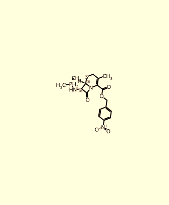 CC1=C(C(=O)OCc2ccc([N+](=O)[O-])cc2)N2C(=O)[C@@H](N[PH2](C)C)[C@@H]2SC1